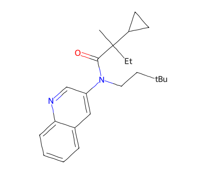 CCC(C)(C(=O)N(CCC(C)(C)C)c1cnc2ccccc2c1)C1CC1